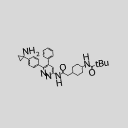 CC(C)(C)C(=O)NC1CCC(CC(=O)Nc2cc(-c3ccccc3)c(-c3ccc(C4(N)CC4)cc3)nn2)CC1